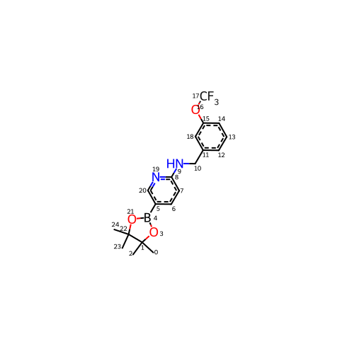 CC1(C)OB(c2ccc(NCc3cccc(OC(F)(F)F)c3)nc2)OC1(C)C